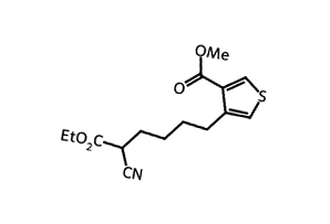 CCOC(=O)C(C#N)CCCCc1cscc1C(=O)OC